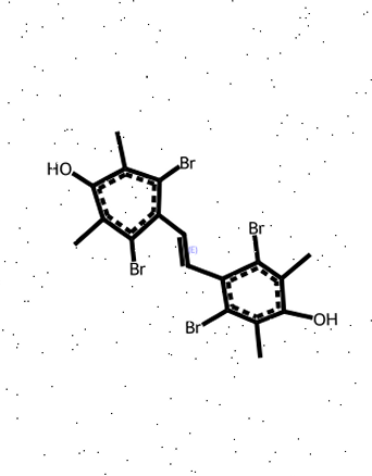 Cc1c(O)c(C)c(Br)c(/C=C/c2c(Br)c(C)c(O)c(C)c2Br)c1Br